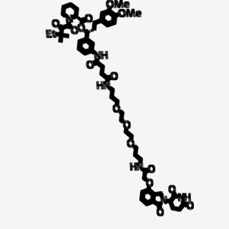 CCC(C)(C)C(=O)C(=O)N1CCCC[C@H]1C(=O)O[C@H](CCc1ccc(OC)c(OC)c1)c1cccc(NC(=O)CCC(=O)NCCCOCCOCCOCCCNC(=O)COc2cccc3c2CN(C2CCC(=O)NC2=O)C3=O)c1